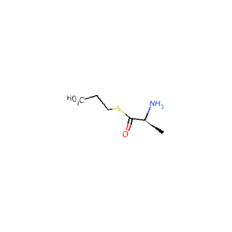 C[C@H](N)C(=O)SCCC(=O)O